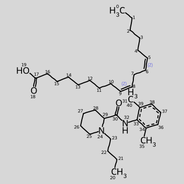 CCCCC/C=C\C/C=C\CCCCCCCC(=O)O.CCCCN1CCCCC1C(=O)Nc1c(C)cccc1C